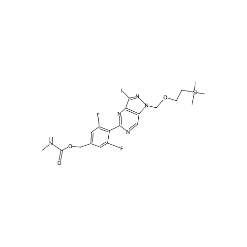 CNC(=O)OCc1cc(F)c(-c2ncc3c(n2)c(I)nn3COCC[Si](C)(C)C)c(F)c1